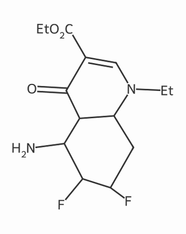 CCOC(=O)C1=CN(CC)C2CC(F)C(F)C(N)C2C1=O